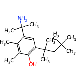 Cc1c(C(C)(C)N)cc(C(C)(C)CC(C)(C)C)c(O)c1C